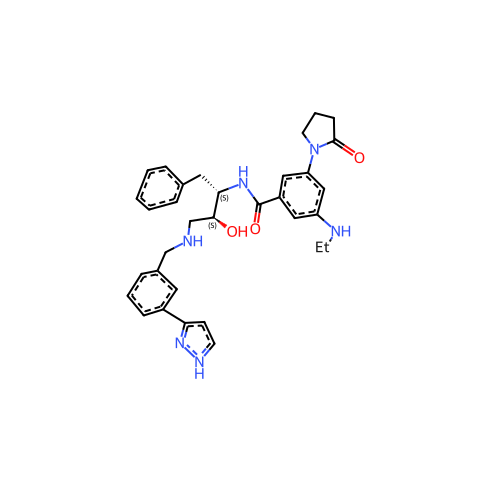 CCNc1cc(C(=O)N[C@@H](Cc2ccccc2)[C@@H](O)CNCc2cccc(-c3cc[nH]n3)c2)cc(N2CCCC2=O)c1